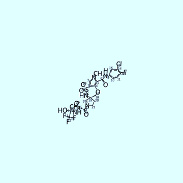 Cn1cc2c(c1C(=O)Nc1ccc(F)c(Cl)c1)OC[C@]1(CCN(C(=O)C(=O)NC(C)(O)C(F)(F)F)C1)NS2(=O)=O